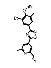 CCCOc1c(C)cc(-c2noc(-c3cc(C)nc(CC(C)C)c3)n2)cc1CC